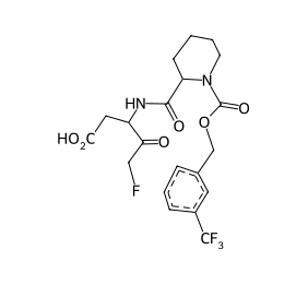 O=C(O)CC(NC(=O)C1CCCCN1C(=O)OCc1cccc(C(F)(F)F)c1)C(=O)CF